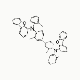 Cc1ccccc1N(c1ccc(-c2ccc(N(c3ccccc3C)c3cccc4c3oc3ccccc34)c(C)c2)cc1C)c1cccc2c1oc1ccccc12